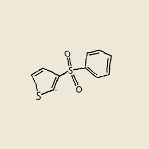 O=S(=O)(c1[c]scc1)c1ccccc1